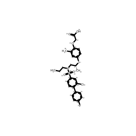 CCCN(C[C@@H](C)Sc1ccc(OCC(=O)O)c(C)c1)S(=O)(=O)c1ccc(-c2ccc(F)cc2)c(Cl)c1